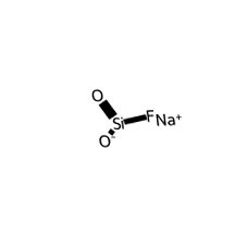 O=[Si]([O-])F.[Na+]